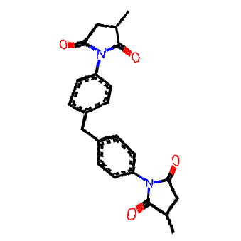 CC1CC(=O)N(c2ccc(Cc3ccc(N4C(=O)CC(C)C4=O)cc3)cc2)C1=O